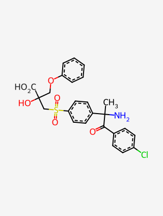 CC(N)(C(=O)c1ccc(Cl)cc1)c1ccc(S(=O)(=O)CC(O)(COc2ccccc2)C(=O)O)cc1